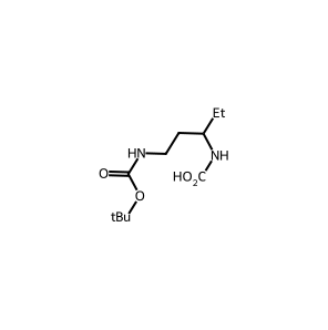 CCC(CCNC(=O)OC(C)(C)C)NC(=O)O